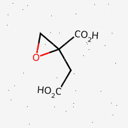 O=C(O)CC1(C(=O)O)CO1